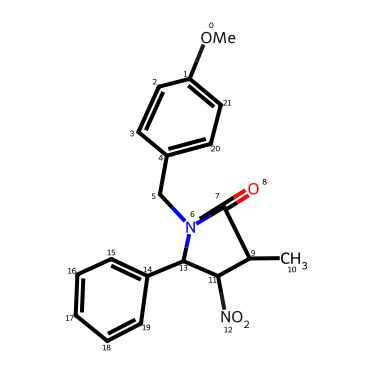 COc1ccc(CN2C(=O)C(C)C([N+](=O)[O-])C2c2ccccc2)cc1